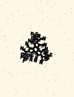 N#CC(=C1C(C#N)=c2c3c(c4c(c2=C1C#N)=C(C#N)C(=C(C#N)S(=O)(=O)C(F)(F)F)C=4C#N)=C(C#N)C(=C(C#N)S(=O)(=O)C(F)(F)F)C=3C#N)S(=O)(=O)C(F)(F)F